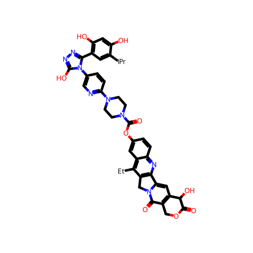 CCc1c2c(nc3ccc(OC(=O)N4CCN(c5ccc(-n6c(O)nnc6-c6cc(C(C)C)c(O)cc6O)cn5)CC4)cc13)-c1cc3c(c(=O)n1C2)COC(=O)C3O